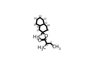 CCC(C)C(=O)OC1(C)CCC2CCCCC2C1